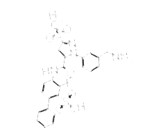 CS(=O)(=O)c1cc(C(=O)Nc2ccc(-c3ccccc3)c(S(C)(=O)=O)c2F)n(-c2cccc(CN)c2)n1